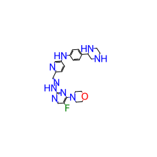 Fc1cnc(N/N=C/c2ccc(Nc3ccc(C4CNCCN4)cc3)cn2)nc1N1CCOCC1